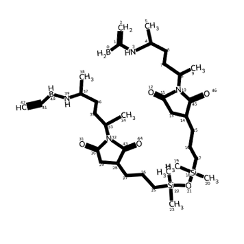 BC(=C)NC(C)CCC(C)N1C(=O)CC(CCC[Si](C)(C)O[Si](C)(C)CCCC2CC(=O)N(C(C)CCC(C)NBC#C)C2=O)C1=O